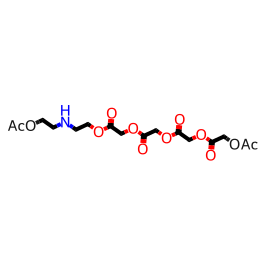 CC(=O)OCCNCCOC(=O)COC(=O)COC(=O)COC(=O)COC(C)=O